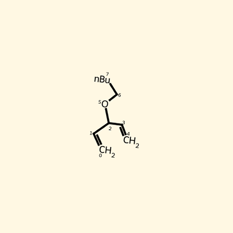 C=CC(C=C)OCCCCC